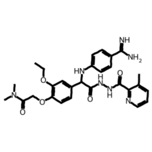 CCOc1cc(C(Nc2ccc(C(=N)N)cc2)C(=O)NNC(=O)c2ncccc2C)ccc1OCC(=O)N(C)C